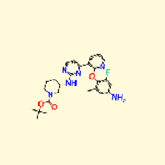 Cc1cc(N)cc(F)c1Oc1ncccc1-c1ccnc(N[C@H]2CCCN(C(=O)OC(C)(C)C)C2)n1